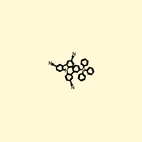 N#Cc1ccc(-n2c3ccc(C#N)cc3c3cc(C#N)ccc32)c(-c2cccc([Si](c3ccccc3)(c3ccccc3)c3ccccc3)c2)c1